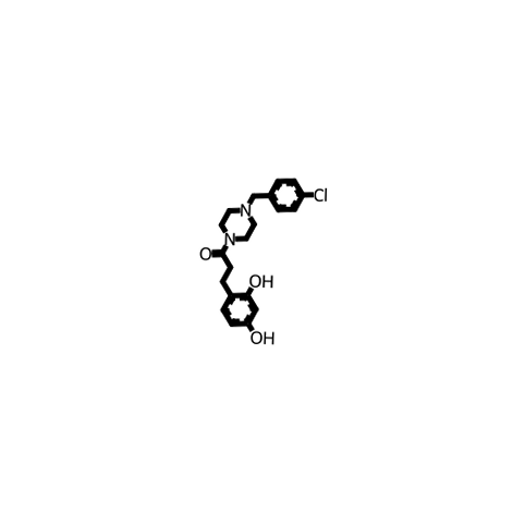 O=C(CCc1ccc(O)cc1O)N1CCN(Cc2ccc(Cl)cc2)CC1